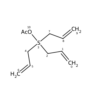 C=CCS(CC=C)(CC=C)OC(C)=O